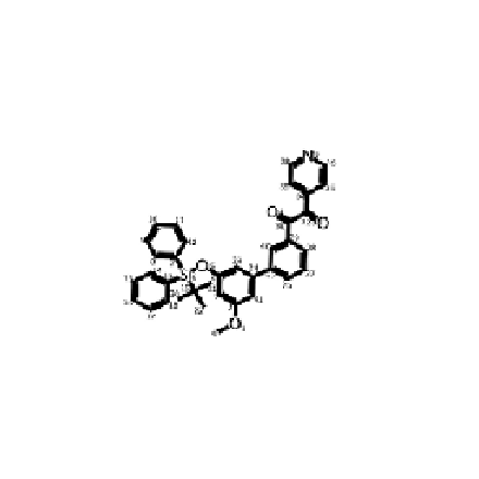 COc1cc(O[Si](c2ccccc2)(c2ccccc2)C(C)(C)C)cc(-c2cccc(C(=O)C(=O)c3ccncc3)c2)c1